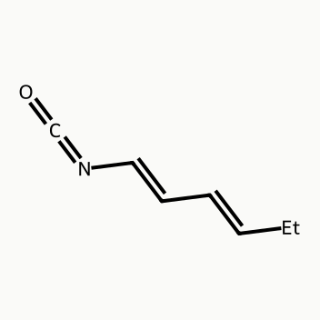 CCC=CC=CN=C=O